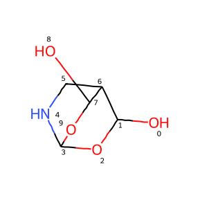 OC1OC2NCC1C(O)O2